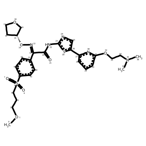 COCCCS(=O)(=O)c1ccc(/C(=N\O[C@@H]2CCOC2)C(=O)Nc2ncc(-c3cccc(OCCN(C)C)n3)s2)cc1